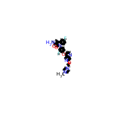 CN1CCN(CCOc2cc3nccc(Oc4ccc(N(C(=O)C5(C(N)=O)CC5)c5ccc(F)cc5)cc4F)c3cn2)CC1